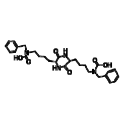 O=C1N[C@@H](CCCCN(Cc2ccccc2)C(=O)O)C(=O)N[C@H]1CCCCN(Cc1ccccc1)C(=O)O